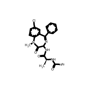 CCCC(=O)N[C@@H](C)C(=O)NC1N=C(c2ccccc2)c2cc(Cl)ccc2N(C)C1=O